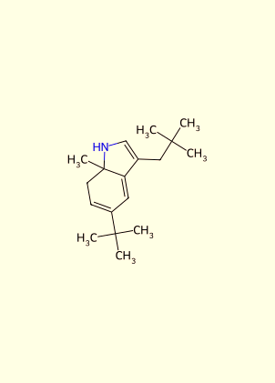 CC(C)(C)CC1=CNC2(C)CC=C(C(C)(C)C)C=C12